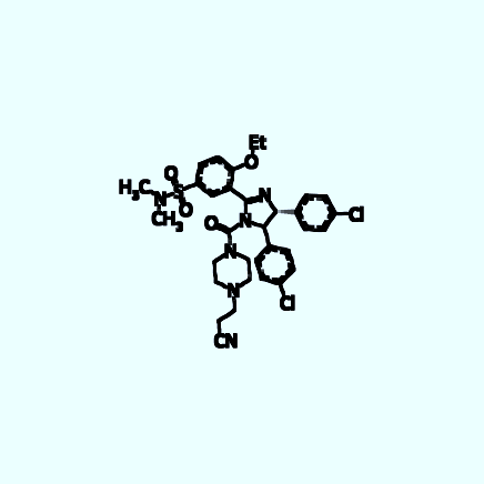 CCOc1ccc(S(=O)(=O)N(C)C)cc1C1=N[C@H](c2ccc(Cl)cc2)C(c2ccc(Cl)cc2)N1C(=O)N1CCN(CCC#N)CC1